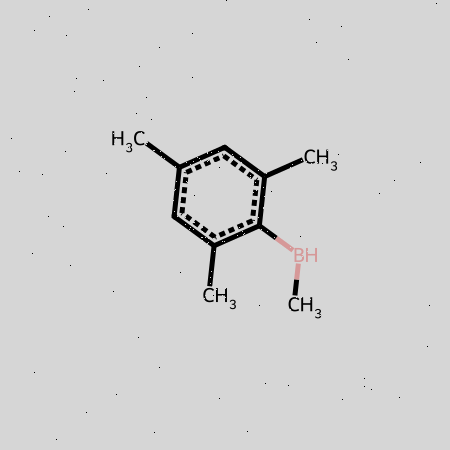 CBc1c(C)cc(C)cc1C